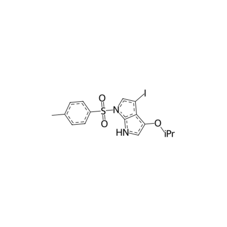 Cc1ccc(S(=O)(=O)n2cc(I)c3c(OC(C)C)c[nH]c32)cc1